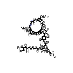 COc1cc2cc(c1Cl)N(C)C(=O)C[C@H](OC(=O)[C@H](C)N(C)C(=O)c1cc(F)c(NC(=O)[C@H](CCCNC(N)=O)NC(=O)[C@@H](NC(=O)CCCCCNC(=O)C(CBr)CBr)C(C)C)cc1Cl)[C@]1(C)O[C@H]1[C@H](C)[C@@H]1C[C@@](O)(NC(=O)O1)[C@H](OC)/C=C/C=C(\C)C2